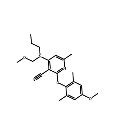 CCCN(COC)c1cc(C)nc(Oc2c(C)cc(OC)cc2C)c1C#N